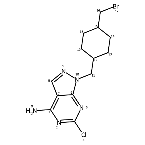 Nc1nc(Cl)nc2c1cnn2CC1CCC(CBr)CC1